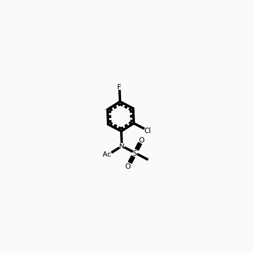 CC(=O)N(c1c[c]c(F)cc1Cl)S(C)(=O)=O